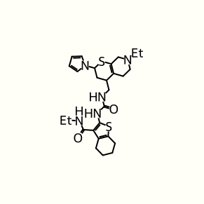 CCNC(=O)c1c(NC(=O)NCC2CC(n3cccc3)SC3=C2CCN(CC)C3)sc2c1CCCC2